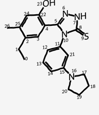 CCc1cc(-c2n[nH]c(=S)n2-c2cccc(N3CCCC3)c2)c(O)cc1C